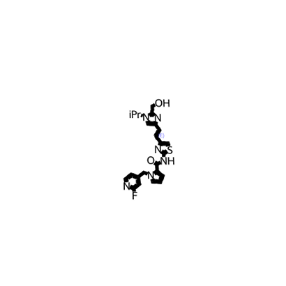 CC(C)n1cc(/C=C/c2csc(NC(=O)c3cccn3Cc3ccnc(F)c3)n2)nc1CO